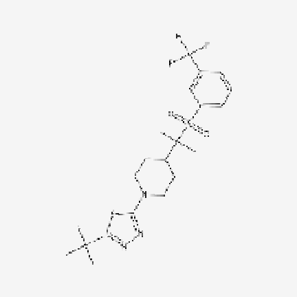 CC(C)(C)c1nnc(N2CCC(C(C)(C)S(=O)(=O)c3cccc(C(F)(F)F)c3)CC2)s1